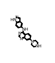 c1nc(Nc2ccc3[nH]ncc3c2)c2ccc(N3CCNCC3)cc2n1